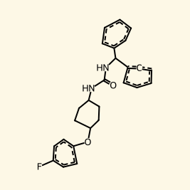 O=C(NC1CCC(Oc2ccc(F)cc2)CC1)NC(c1ccccc1)c1ccccc1